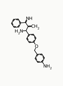 C=C(C(=N)c1ccccc1)C(N)c1ccc(OCc2ccc(N)cc2)cc1